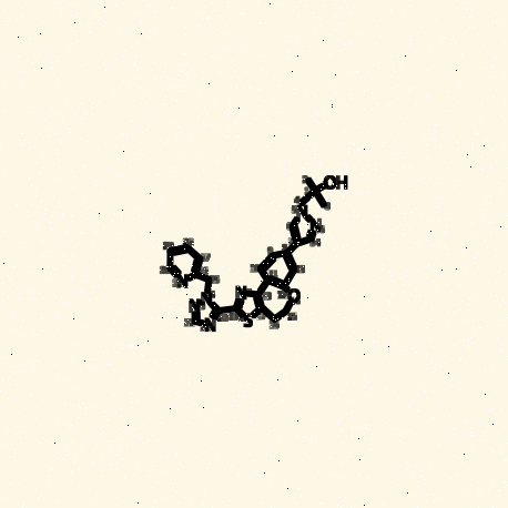 CC(C)(O)Cn1cc(-c2ccc3c(c2)OCCc2sc(-c4ncnn4Cc4ccccn4)nc2-3)cn1